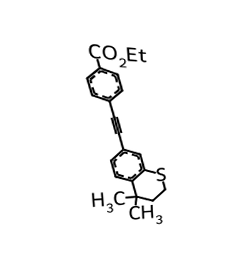 CCOC(=O)c1ccc(C#Cc2ccc3c(c2)SCCC3(C)C)cc1